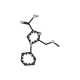 COCc1nc(C(=O)O)cn1-c1ccccc1